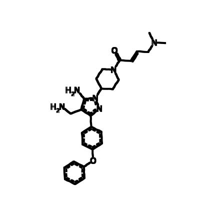 CN(C)C/C=C/C(=O)N1CCC(n2nc(-c3ccc(Oc4ccccc4)cc3)c(CN)c2N)CC1